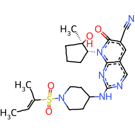 C/C=C(\C)S(=O)(=O)N1CCC(Nc2ncc3cc(C#N)c(=O)n([C@@H]4CCC[C@@]4(C)O)c3n2)CC1